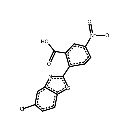 O=C(O)c1cc([N+](=O)[O-])ccc1-c1nc2cc(Cl)ccc2s1